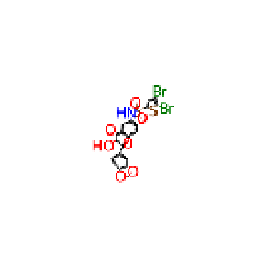 O=c1c(O)c(-c2ccc3c(c2)OCO3)oc2ccc(NS(=O)(=O)c3cc(Br)c(Br)s3)cc12